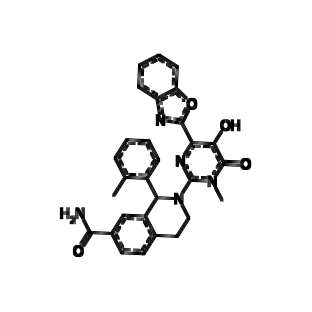 Cc1ccccc1C1c2cc(C(N)=O)ccc2CCN1c1nc(-c2nc3ccccc3o2)c(O)c(=O)n1C